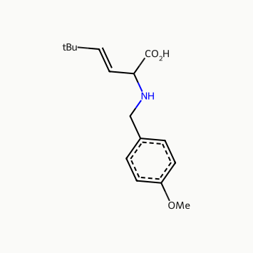 COc1ccc(CNC(C=CC(C)(C)C)C(=O)O)cc1